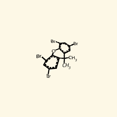 CC1(C)c2cc(Br)cc(Br)c2Oc2c(Br)cc(Br)cc21